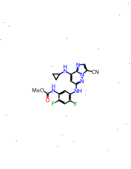 COC(=O)Nc1cc(Nc2cc(NC3CC3)c3ncc(C#N)n3n2)c(F)cc1F